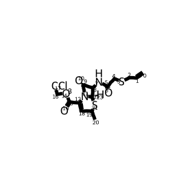 C=CCSCC(=O)NC1C(=O)N2C(C(=O)OCC(Cl)(Cl)Cl)=CC(C)S[C@H]12